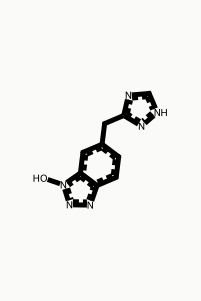 On1nnc2ccc(Cc3nc[nH]n3)cc21